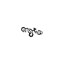 C1=CC(CN(CCC2(CN3CCOCC3)CC2)Cc2ccccn2)=NCC1